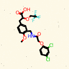 COc1ccc(CC(OCC(F)(F)F)C(=O)O)cc1CNC(=O)COc1ccc(Cl)cc1Cl